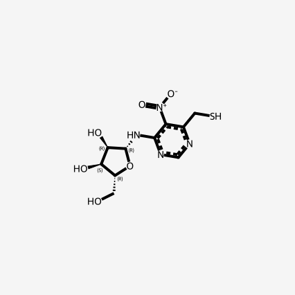 O=[N+]([O-])c1c(CS)ncnc1N[C@@H]1O[C@H](CO)[C@@H](O)[C@H]1O